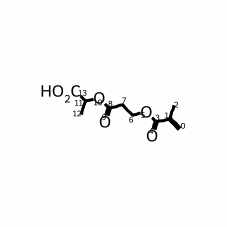 C=C(C)C(=O)OCCC(=O)OC(C)C(=O)O